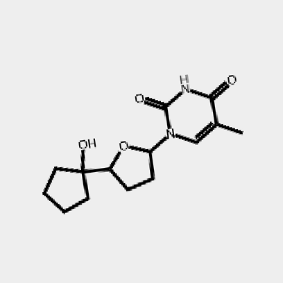 Cc1cn(C2CCC(C3(O)CCCC3)O2)c(=O)[nH]c1=O